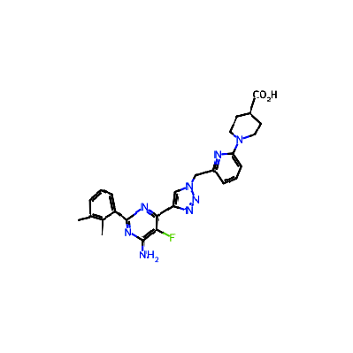 Cc1cccc(-c2nc(N)c(F)c(-c3cn(Cc4cccc(N5CCC(C(=O)O)CC5)n4)nn3)n2)c1C